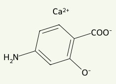 Nc1ccc(C(=O)[O-])c([O-])c1.[Ca+2]